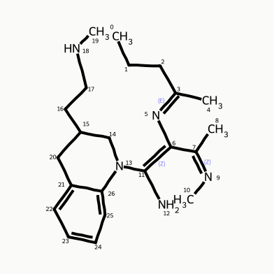 CCC/C(C)=N/C(C(/C)=N\C)=C(/N)N1CC(CCNC)Cc2ccccc21